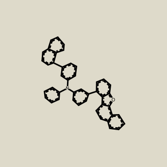 c1ccc(N(c2cccc(-c3cccc4ccccc34)c2)c2cccc(-c3cccc4oc5c6ccccc6ccc5c34)c2)cc1